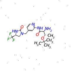 C[C@H](OC(C)(C)C)[C@H](N)C(=O)Nc1cc(CN2C[C@@H](C(F)(F)F)NC2=O)ccn1